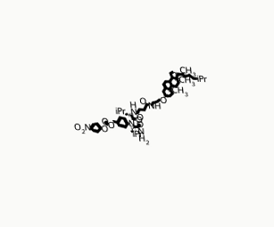 CC(C)CCC[C@@H](C)[C@H]1CCC2C3CC=C4C[C@@H](OCCCNC(=O)CCC(=O)N[C@@H](CC(C)C)C(=O)N(c5ccc(COC(=O)Oc6ccc([N+](=O)[O-])cc6)cc5)[C@@H](CC(C)C)C(N)=O)CC[C@]4(C)C3CC[C@@]21C